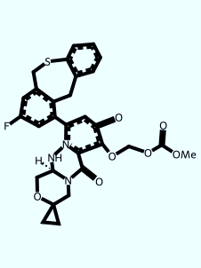 COC(=O)OCOc1c2n(c(-c3cc(F)cc4c3Cc3ccccc3SC4)cc1=O)N[C@@H]1COC3(CC3)CN1C2=O